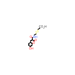 O=C(O)CCSSCCNC(=O)c1cc2ccc(O)cc2oc1=O